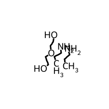 CCCN.CCCN.OCCOCCO